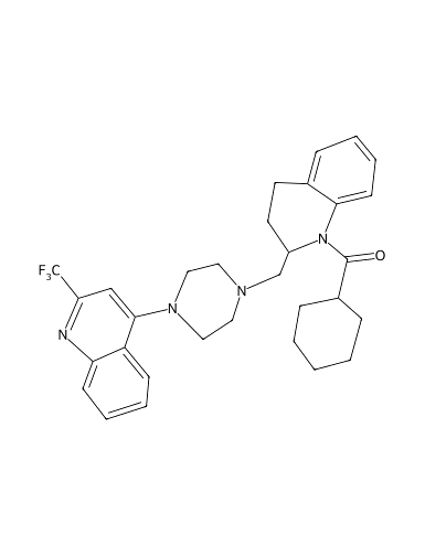 O=C(C1CCCCC1)N1c2ccccc2CCC1CN1CCN(c2cc(C(F)(F)F)nc3ccccc23)CC1